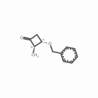 C[C@H]1C(=O)C[C@@H]1OCc1ccccc1